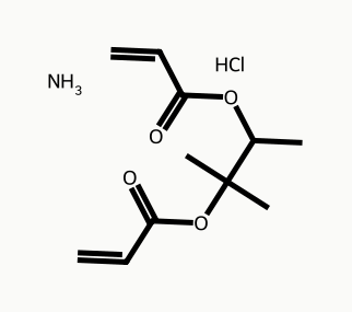 C=CC(=O)OC(C)C(C)(C)OC(=O)C=C.Cl.N